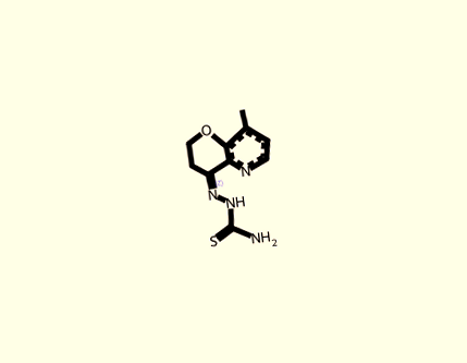 Cc1ccnc2c1OCC/C2=N/NC(N)=S